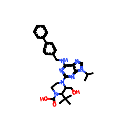 CC(C)n1cnc2c(NCc3ccc(-c4ccccc4)cc3)nc(N3CCN(C(=O)O)C(C(C)(C)C)C3CO)nc21